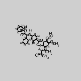 C=C(Cl)/C(C[C@H](OC(=O)c1ccc(NC(C(=O)O[C@H]2CN3CCC2CC3)c2ccccc2)cc1F)c1ccc(OC)c(OC)c1)=C(\C)Cl